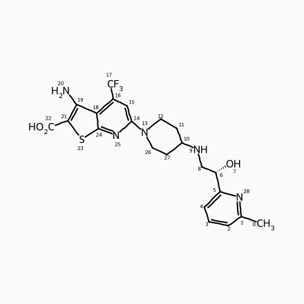 Cc1cccc([C@@H](O)CNC2CCN(c3cc(C(F)(F)F)c4c(N)c(C(=O)O)sc4n3)CC2)n1